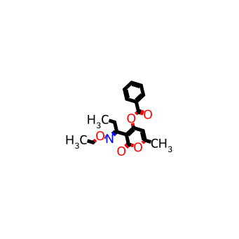 CCON=C(CC)c1c(OC(=O)c2ccccc2)cc(C)oc1=O